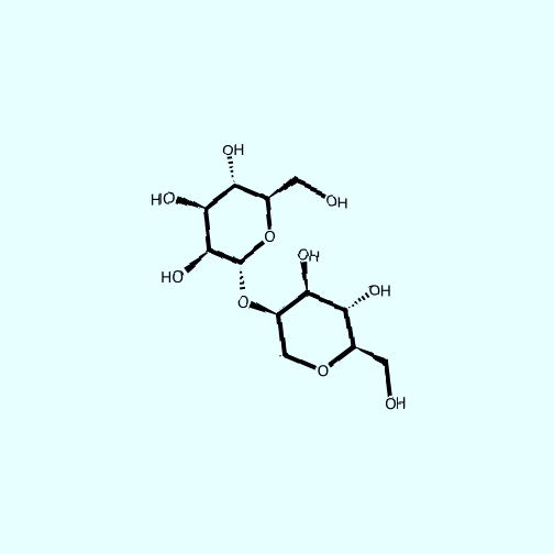 OC[C@H]1O[C@H](O[C@@H]2[CH]O[C@H](CO)[C@@H](O)[C@@H]2O)[C@@H](O)[C@@H](O)[C@@H]1O